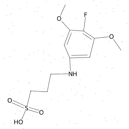 COc1cc(NCCCS(=O)(=O)O)cc(OC)c1F